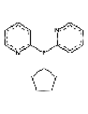 c1ccc(P(c2ccccn2)C2CCCC2)nc1